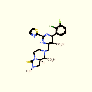 CCOC(=O)C1=C(CN2CCN3C(=S)N(C)C[C@@H]3[C@@H]2C(=O)O)NC(c2nccs2)=NC1c1cccc(F)c1Cl